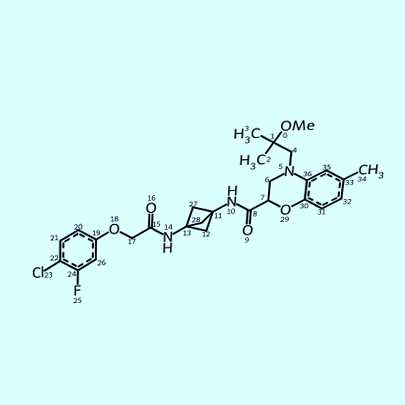 COC(C)(C)CN1CC(C(=O)NC23CC(NC(=O)COc4ccc(Cl)c(F)c4)(C2)C3)Oc2ccc(C)cc21